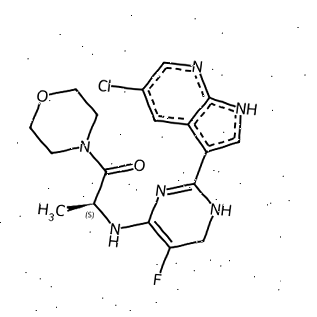 C[C@H](NC1=C(F)CNC(c2c[nH]c3ncc(Cl)cc23)=N1)C(=O)N1CCOCC1